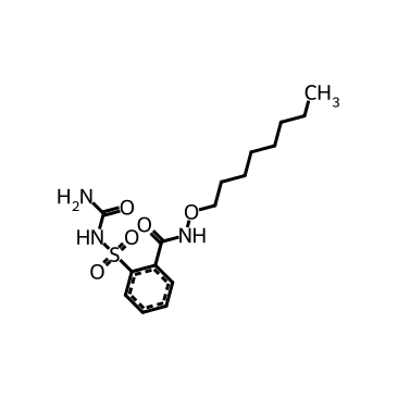 CCCCCCCCONC(=O)c1ccccc1S(=O)(=O)NC(N)=O